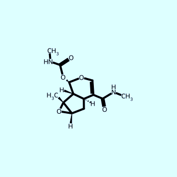 CNC(=O)O[C@@H]1OC=C(C(=O)NC)[C@H]2C[C@@H]3O[C@]3(C)[C@H]12